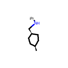 CC(C)NC[C@H]1CC[C@@H](C)CC1